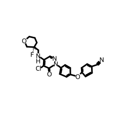 N#Cc1ccc(Oc2ccc(-n3ncc(NC[C@]4(F)CCCOC4)c(Cl)c3=O)cc2)cc1